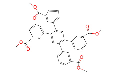 COC(=O)c1cccc(-c2cc(-c3cccc(C(=O)OC)c3)c(-c3cccc(C(=O)OC)c3)cc2-c2cccc(C(=O)OC)c2)c1